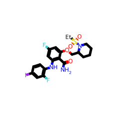 CCS(=O)(=O)N1CCCCC1COc1cc(F)cc(Nc2ccc(I)cc2F)c1C(N)=O